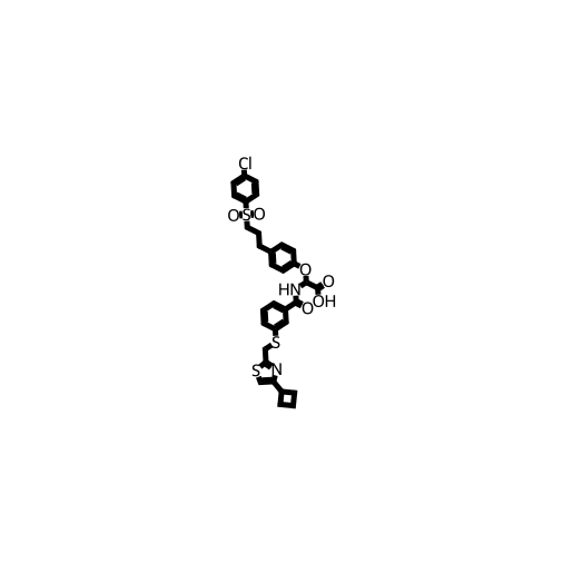 O=C(NC(Oc1ccc(CCCS(=O)(=O)c2ccc(Cl)cc2)cc1)C(=O)O)c1cccc(SCc2nc(C3CCC3)cs2)c1